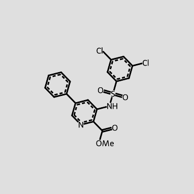 COC(=O)c1ncc(-c2ccccc2)cc1NS(=O)(=O)c1cc(Cl)cc(Cl)c1